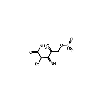 CCC(C(=N)C(=O)CO[SH](=O)=O)C(N)=O